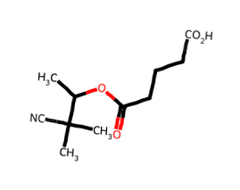 CC(OC(=O)CCCC(=O)O)C(C)(C)C#N